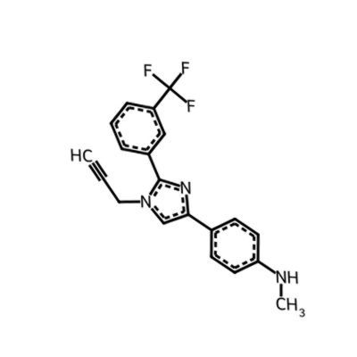 C#CCn1cc(-c2ccc(NC)cc2)nc1-c1cccc(C(F)(F)F)c1